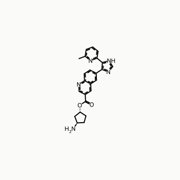 Cc1cccc(-c2[nH]cnc2-c2ccc3ncc(C(=O)O[C@@H]4CC[C@@H](N)C4)cc3c2)n1